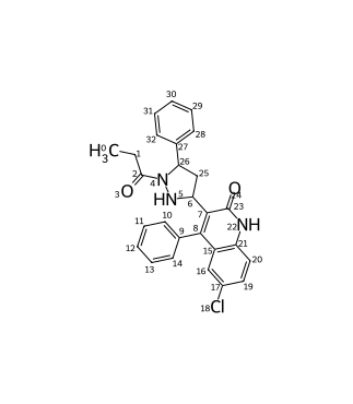 CCC(=O)N1NC(c2c(-c3ccccc3)c3cc(Cl)ccc3[nH]c2=O)CC1c1ccccc1